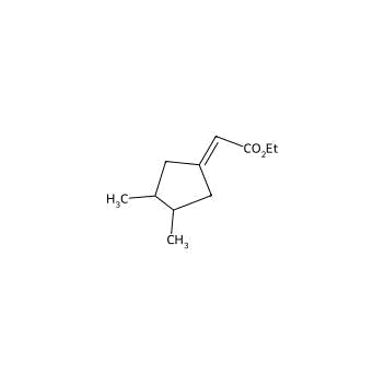 CCOC(=O)C=C1CC(C)C(C)C1